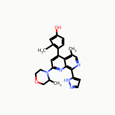 Cc1cc(O)ccc1-c1cc(N2CCOCC2C)nc2c(-c3ccn[nH]3)ncc(C)c12